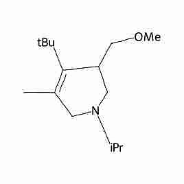 COCC1CN(C(C)C)CC(C)=C1C(C)(C)C